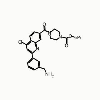 CCCOC(=O)N1CCN(C(=O)c2ccc3c(Cl)cc(-c4cccc(CN)c4)nc3c2)CC1